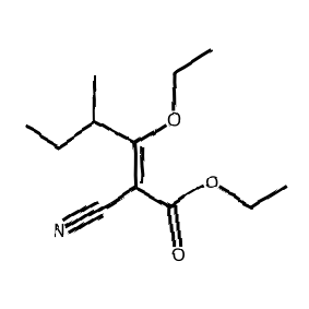 CCOC(=O)C(C#N)=C(OCC)C(C)CC